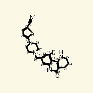 N#Cc1ccc(N2CCN(Cc3cc(F)c4c5c(c(=O)[nH]c4c3)CCCN5)CC2)s1